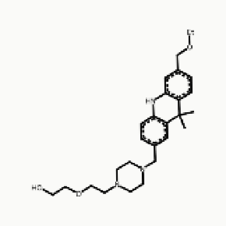 CCOCc1ccc2c(c1)Nc1ccc(CN3CCN(CCOCCO)CC3)cc1C2(C)C